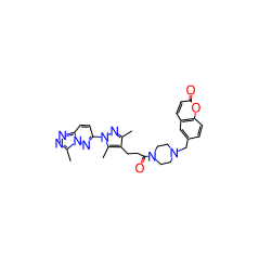 Cc1nn(-c2ccc3nnc(C)n3n2)c(C)c1CCC(=O)N1CCN(Cc2ccc3oc(=O)ccc3c2)CC1